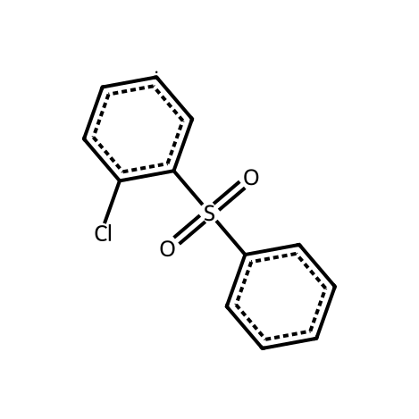 O=S(=O)(c1ccccc1)c1c[c]ccc1Cl